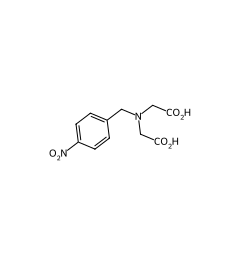 O=C(O)CN(CC(=O)O)Cc1ccc([N+](=O)[O-])cc1